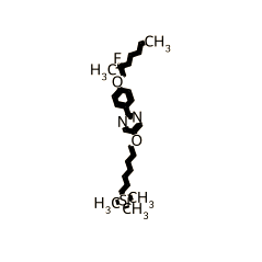 CCCCC[C@](C)(F)COc1ccc(-c2ncc(OCCCCCCC[Si](C)(C)C)cn2)cc1